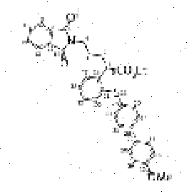 CCOC(=O)C(CCCN1C(=O)c2ccccc2C1=O)c1ccccc1Sc1ccc(-c2ccc(OC)cc2)cc1